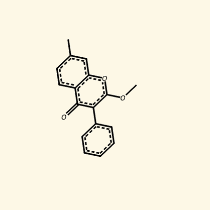 COc1oc2cc(C)ccc2c(=O)c1-c1ccccc1